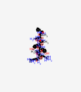 CN[C@@H](N[C@H](C=O)Cc1ccccc1)C(=O)C[C@@H](N[C@H](C=O)CC(N)=O)C(=O)N[C@@H](N[C@@H](C)C=O)C(=O)C[C@@H](N[C@H](C=O)Cc1ccc(O)cc1)C(=O)N[C@@H](N[C@H](C=O)Cc1ccc(O)cc1)C(=O)C[C@@H](N[C@@H](C)C=O)C(=O)N[C@@H](N[C@H](C=O)CCCNC(=N)N)C(=O)C[C@@H](N[C@H](C=O)CCCNC(=N)N)C(N)=O